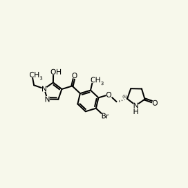 CCn1ncc(C(=O)c2ccc(Br)c(OC[C@@H]3CCC(=O)N3)c2C)c1O